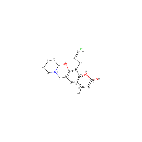 C=CCc1c(O)c(CN2CCCCC2)cc2c(C)cc(=O)oc12.Cl